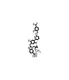 CCC1(Cn2c(Cc3cc(F)c(-c4cccc(OCc5ccc(C(F)F)cc5F)n4)cc3F)nc3ccc(C(=O)O)cc32)CC1